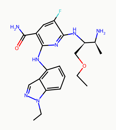 CCOC[C@@H](Nc1nc(Nc2cccc3c2cnn3CC)c(C(N)=O)cc1F)[C@H](C)N